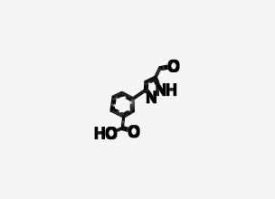 O=Cc1cc(-c2cccc(C(=O)O)c2)n[nH]1